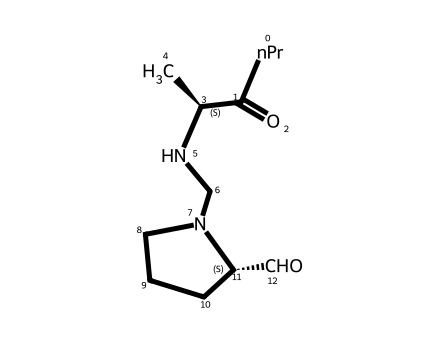 CCCC(=O)[C@H](C)NCN1CCC[C@H]1C=O